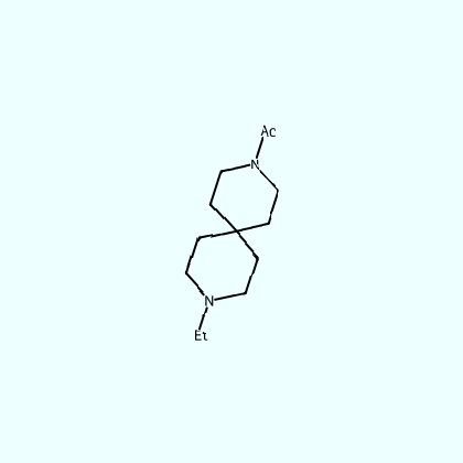 CCN1CCC2(CC1)CCN(C(C)=O)CC2